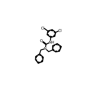 O=C(Nc1cc(Cl)cc(Cl)c1)N(Cc1ccccc1)Cc1ccccc1